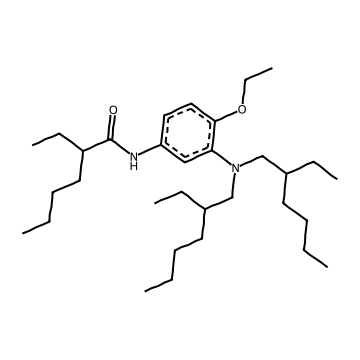 CCCCC(CC)CN(CC(CC)CCCC)c1cc(NC(=O)C(CC)CCCC)ccc1OCC